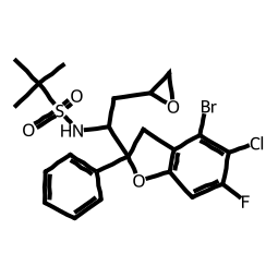 CC(C)(C)S(=O)(=O)NC(CC1CO1)C1(c2ccccc2)Cc2c(cc(F)c(Cl)c2Br)O1